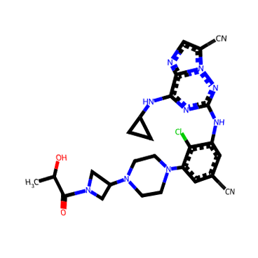 CC(O)C(=O)N1CC(N2CCN(c3cc(C#N)cc(Nc4nc(NC5CC5)c5ncc(C#N)n5n4)c3Cl)CC2)C1